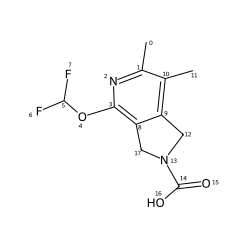 Cc1nc(OC(F)F)c2c(c1C)CN(C(=O)O)C2